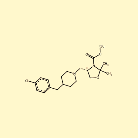 CC(C)(C)OC(=O)N1[C@@H](CN2CCC(Cc3ccc(Cl)cc3)CC2)COC1(C)C